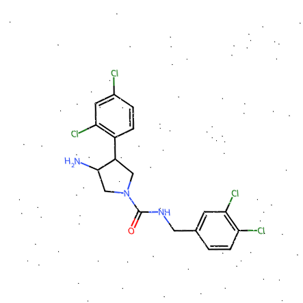 NC1CN(C(=O)NCc2ccc(Cl)c(Cl)c2)CC1c1ccc(Cl)cc1Cl